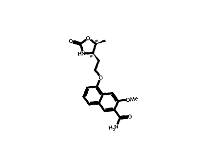 COc1cc2c(OCC[C@H]3NC(=O)O[C@H]3C)cccc2cc1C(N)=O